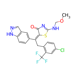 COCNC1=NC(=O)C(=C(Cc2ccc(Cl)cc2C(F)(F)F)c2ccc3[nH]ncc3c2)S1